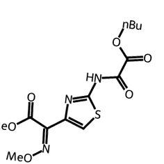 CCCCOC(=O)C(=O)Nc1nc(C(=NOC)C(=O)OC)cs1